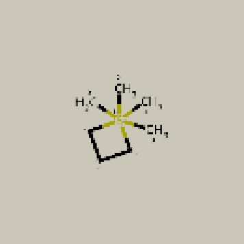 CS1(C)(C)(C)C[CH]C1